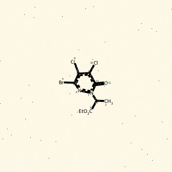 CCOC(=O)C(C)n1nc(Br)c(Cl)c(Cl)c1=O